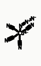 N#[C][Cu-4]([C]#N)([C]#N)([C]#N)[N]=[N+]=[N-]